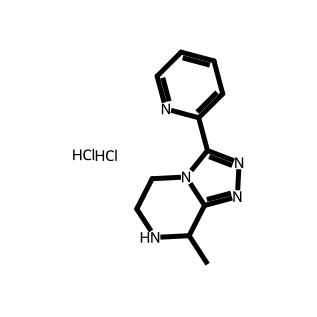 CC1NCCn2c(-c3ccccn3)nnc21.Cl.Cl